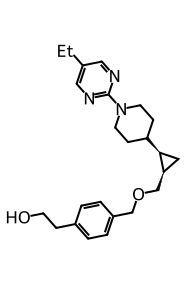 CCc1cnc(N2CCC([C@H]3C[C@H]3COCc3ccc(CCO)cc3)CC2)nc1